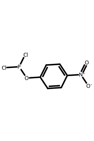 O=[N+]([O-])c1ccc(OP(Cl)Cl)cc1